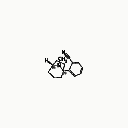 CN1[C@@H]2CCC[C@@]1(c1ccccc1C#N)CC2